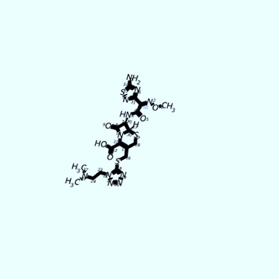 CO/N=C(\C(=O)N[C@@H]1C(=O)N2C(C(=O)O)=C(CSc3nnnn3CCN(C)C)CS[C@H]12)c1nsc(N)n1